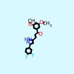 COc1cc(OC)cc(C(=O)C=Cc2cc(-c3ccc(F)c(F)c3)n[nH]2)c1